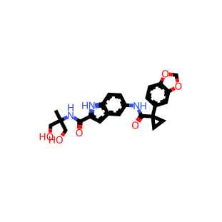 CC(CO)(CO)NC(=O)c1cc2cc(NC(=O)C3(c4ccc5c(c4)OCO5)CC3)ccc2[nH]1